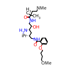 CNCCC(C)(C)C(=O)NC[C@H](O)[C@@H](N)C[C@H](CNC(=O)c1ccccc1OCCCCOC)C(C)C